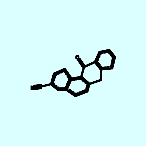 N#Cc1ccc2c3c(ccc2c1)Cc1ccccc1C3=O